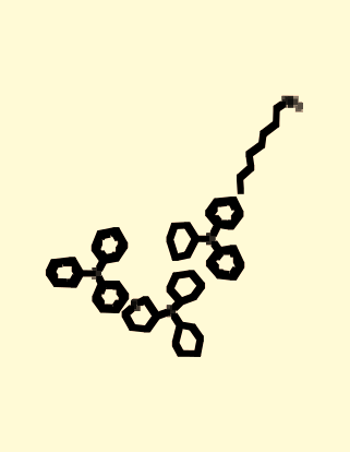 C1CCC(P(C2CCCCC2)C2CCCCC2)CC1.CCCCCCCCP.c1ccc(P(c2ccccc2)C2CCCCC2)cc1.c1ccc(P(c2ccccc2)c2ccccc2)cc1